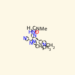 C=C1C=Cc2cc(C#Cc3nc(NC(=O)C(C)NC)ccc3-c3c(-c4ccncc4)nc4cc(C)ccn34)ccc2N1C